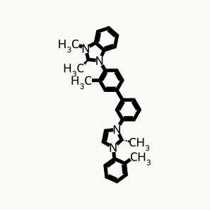 Cc1ccccc1N1C=CN(c2cccc(-c3ccc(N4c5ccccc5N(C)[C@@H]4C)c(C)c3)c2)[C@@H]1C